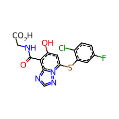 O=C(O)CNC(=O)c1c(O)cc(Sc2cc(F)ccc2Cl)n2ncnc12